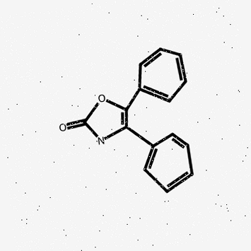 O=C1[N]C(c2ccccc2)=C(c2ccccc2)O1